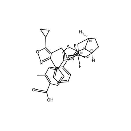 Cc1cc(-c2csc(N3[C@@H]4CC[C@H]3C[C@@H](OCc3c(-c5ccccc5OC(F)(F)F)noc3C3CC3)C4)n2)ccc1C(=O)O